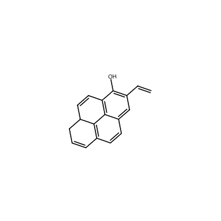 C=Cc1cc2ccc3c4c2c(c1O)C=CC4CC=C3